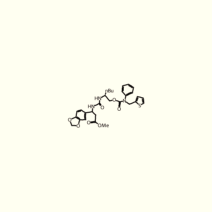 CCCC[C@@H](COC(=O)N(Cc1cccs1)c1ccccc1)NC(=O)NC(CC(=O)OC)c1ccc2c(c1)OCO2